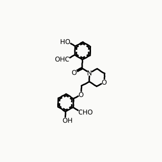 O=Cc1c(O)cccc1OCC1COCCN1C(=O)c1cccc(O)c1C=O